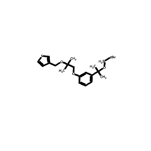 CC(C)(COc1cccc(C(C)(C)O[SiH2]C(C)(C)C)c1)OCc1ccsc1